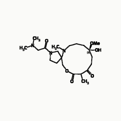 CO[C@]1(O)CCCN(C)C2(CCN(C(=O)CN(C)C)C2)COC(=O)C(C)C(=O)CC1